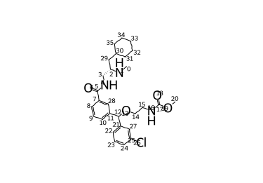 CN[C@H](CNC(=O)c1cccc(C(OCCNC(=O)OC)c2cccc(Cl)c2)c1)CC1CCCCC1